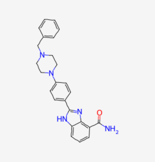 NC(=O)c1cccc2[nH]c(-c3ccc(N4CCN(Cc5ccccc5)CC4)cc3)nc12